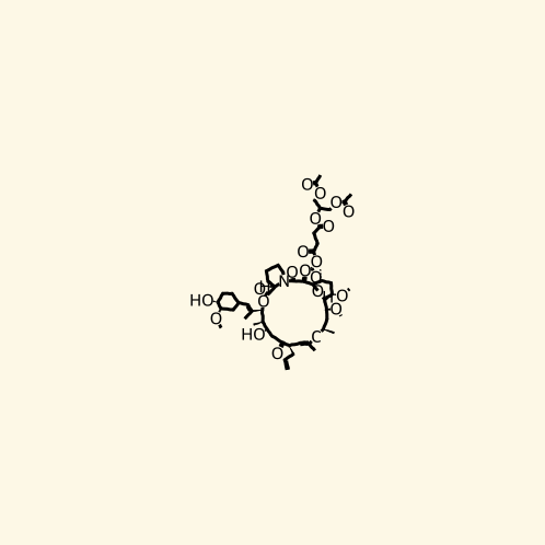 C=CC[C@@H]1/C=C(\C)C[C@H](C)C[C@H](OC)[C@H]2O[C@@](OCOC(=O)CCC(=O)OC(COC(C)=O)COC(C)=O)(C(=O)C(=O)N3CCCC[C@H]3C(=O)O[C@H](/C(C)=C/C3CC[C@@H](O)[C@H](OC)C3)[C@H](C)[C@@H](O)CC1=O)[C@H](C)C[C@@H]2OC